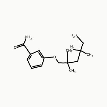 BCC(C)(C)CC(C)(C)COc1cccc(C(N)=O)c1